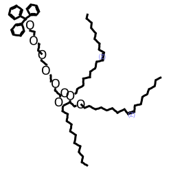 CCCCCCCC/C=C\CCCCCCCCOCC(OCCCCCCCC/C=C\CCCCCCCC)C(CCCCCCCCCCCC)OC(=O)COCCOCCOCCOCCOC(c1ccccc1)(c1ccccc1)c1ccccc1